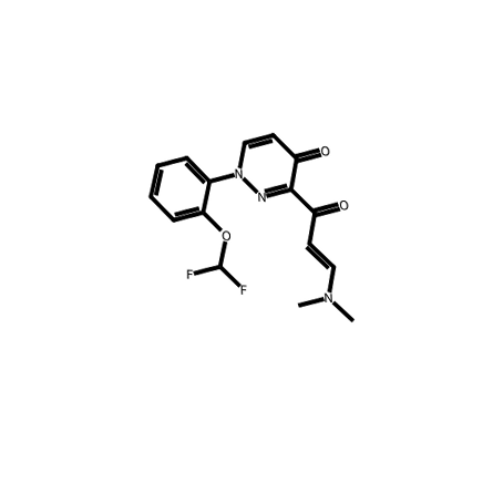 CN(C)C=CC(=O)c1nn(-c2ccccc2OC(F)F)ccc1=O